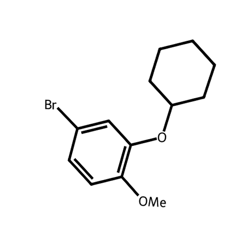 COc1ccc(Br)cc1OC1CCCCC1